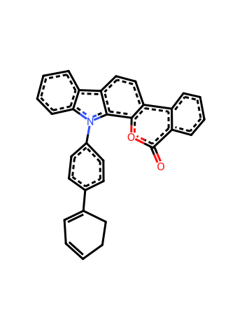 O=c1oc2c(ccc3c4ccccc4n(-c4ccc(C5=CC=CCC5)cc4)c32)c2ccccc12